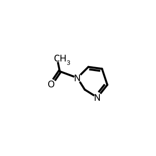 CC(=O)N1C=CC=NC1